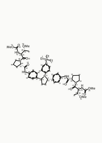 CC[Si](CC)(CC)c1ccc(N2[C@H](c3ccc(NC(=O)[C@@H]4CCCN4C(=O)[C@@H](NC(=O)OC)[C@@H](C)OC)cc3)CC[C@H]2c2ccc(NC(=O)[C@@H]3CCCN3C(=O)[C@@H](NC(=O)OC)[C@@H](C)OC)cc2)cc1